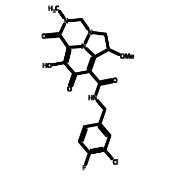 COC1CN2CN(C)C(=O)c3c(O)c(=O)c(C(=O)NCc4ccc(F)c(Cl)c4)c1n32